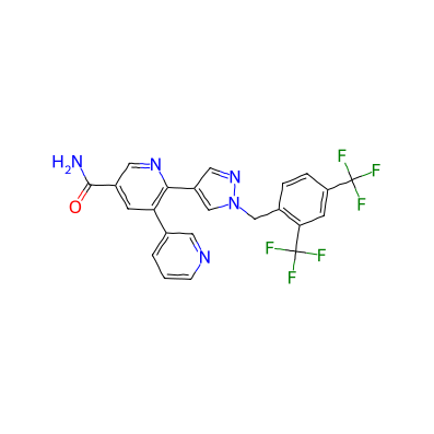 NC(=O)c1cnc(-c2cnn(Cc3ccc(C(F)(F)F)cc3C(F)(F)F)c2)c(-c2cccnc2)c1